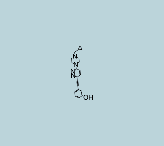 Oc1cccc(C#Cc2ccc(N3CCN(CC4CC4)CC3)nn2)c1